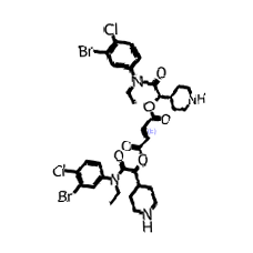 CCN(C(=O)C(OC(=O)/C=C/C(=O)OC(C(=O)N(CC)c1ccc(Cl)c(Br)c1)C1CCNCC1)C1CCNCC1)c1ccc(Cl)c(Br)c1